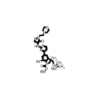 CC(C)(C)OC(=O)N1C[C@](C)(CO[Si](C)(C)C(C)(C)C)c2cc(-c3ccnc(Nc4cnn(CCN5CCOCC5)c4Cl)n3)cc(C#N)c21